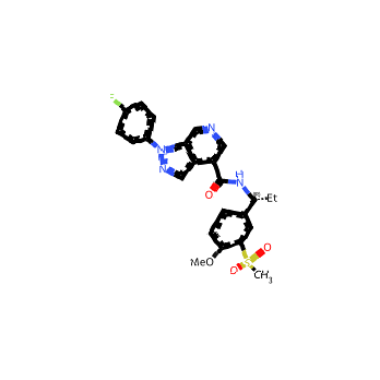 CC[C@@H](NC(=O)c1cncc2c1cnn2-c1ccc(F)cc1)c1ccc(OC)c(S(C)(=O)=O)c1